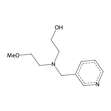 COCCN(CCO)Cc1cccnc1